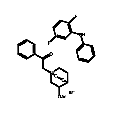 CC(=O)OC1C[N+]2(CC(=O)c3ccccc3)CCC1CC2.Fc1ccc(F)c(Nc2ccccc2)c1.[Br-]